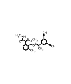 C#Cc1cc(C#C)cc(/C(C)=N/OCc2c(C)cccc2/C(=N\OC)C(=O)NC)c1